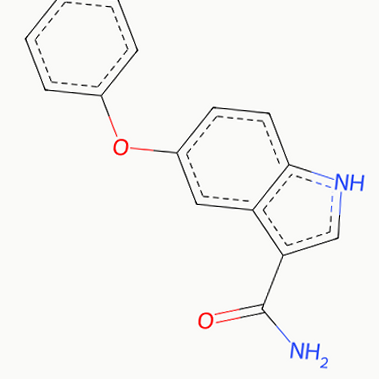 NC(=O)c1c[nH]c2ccc(Oc3ccccc3)cc12